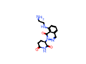 NCCNc1cccc2cnn(C3CCC(=O)NC3=O)c(=O)c12